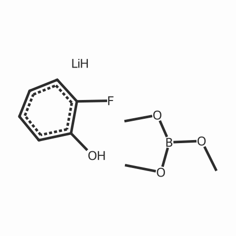 COB(OC)OC.Oc1ccccc1F.[LiH]